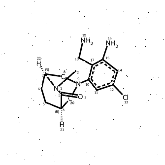 CN1C(=O)[C@@H]2CC[C@H]1CN(c1cc(Cl)cc(N)c1CN)C2